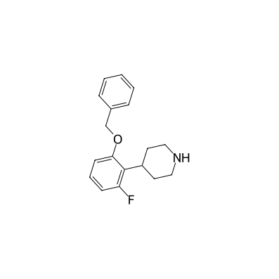 Fc1cccc(OCc2ccccc2)c1C1CCNCC1